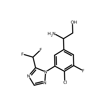 NC(CO)c1cc(F)c(Cl)c(-n2ncnc2C(F)F)c1